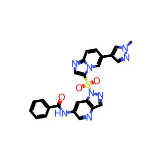 Cn1cc(-c2ccc3ncc(S(=O)(=O)n4ncc5ncc(NC(=O)c6ccccc6)cc54)n3c2)cn1